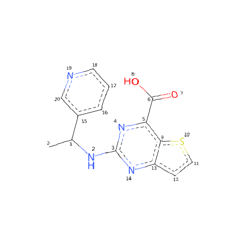 CC(Nc1nc(C(=O)O)c2sccc2n1)c1cccnc1